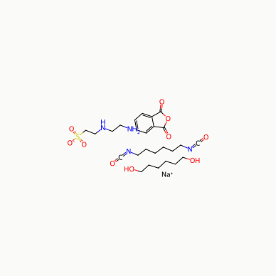 NCCNCCS(=O)(=O)[O-].O=C1OC(=O)c2ccccc21.O=C=NCCCCCCN=C=O.OCCCCCCO.[Na+]